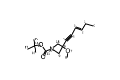 CC/C=C/C#CC1(OC)CN(C(=O)OC(C)(C)C)C1